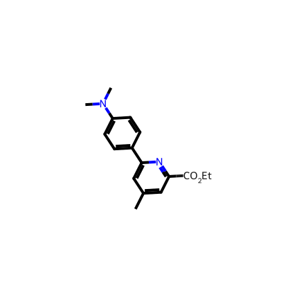 CCOC(=O)c1cc(C)cc(-c2ccc(N(C)C)cc2)n1